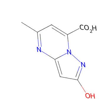 Cc1cc(C(=O)O)n2nc(O)cc2n1